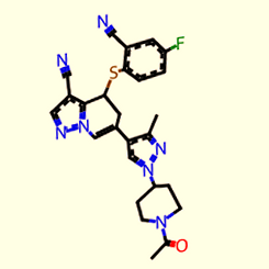 CC(=O)N1CCC(n2cc(C3=Cn4ncc(C#N)c4C(Sc4ccc(F)cc4C#N)C3)c(C)n2)CC1